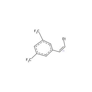 [CH2]C/C=C\c1cc(C(F)(F)F)cc(C(F)(F)F)c1